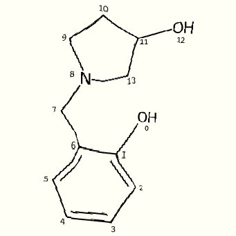 Oc1ccccc1CN1CCC(O)C1